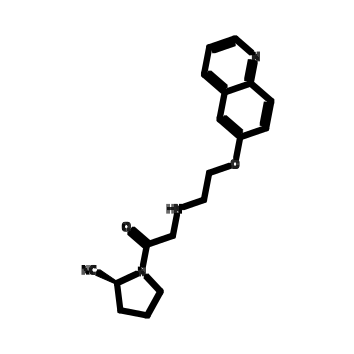 N#C[C@@H]1CCCN1C(=O)CNCCOc1ccc2ncccc2c1